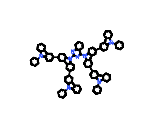 c1ccc(-n2c3ccccc3c3cc(-c4ccc5c(c4)c4cc(-c6ccc7c(c6)c6ccccc6n7-c6ccccc6)ccc4n5-c4nc(-n5c6ccc(-c7ccc8c(c7)c7ccccc7n8-c7ccccc7)cc6c6cc(-c7ccc8c(c7)c7ccccc7n8-c7ccccc7)ccc65)c5ccccc5n4)ccc32)cc1